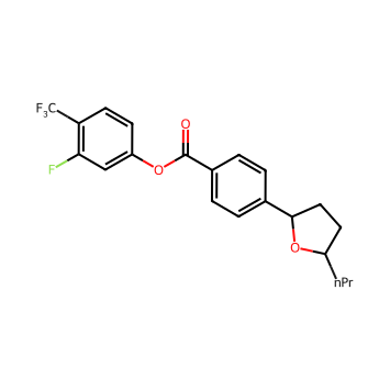 CCCC1CCC(c2ccc(C(=O)Oc3ccc(C(F)(F)F)c(F)c3)cc2)O1